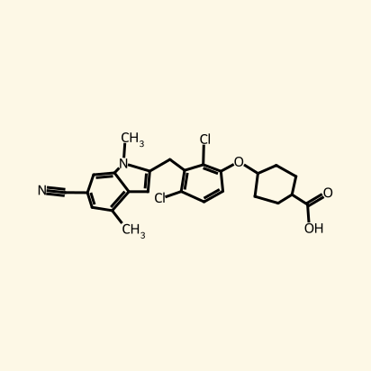 Cc1cc(C#N)cc2c1cc(Cc1c(Cl)ccc(OC3CCC(C(=O)O)CC3)c1Cl)n2C